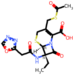 CC[C@]1(NC(=O)Cc2nnco2)C(=O)N2C(C(=O)O)=C(CSC(C)=O)CS[C@@H]21